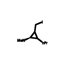 CCCC1C(CI)[C@@H]1NC